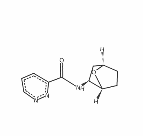 O=C(N[C@H]1C[C@H]2CC[C@H]1O2)c1cccnn1